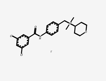 C[N+](C)(Cc1ccc(NC(=O)c2cc(Cl)cc(Cl)c2)cc1)C1CCOCC1.[I-]